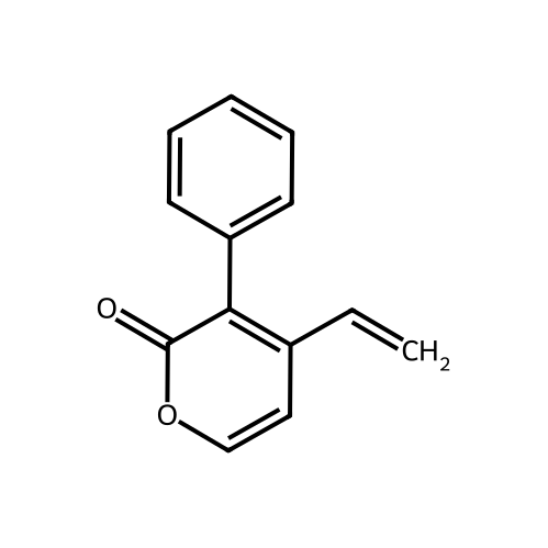 C=Cc1ccoc(=O)c1-c1ccccc1